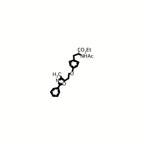 CCOC(=O)[C@@H](Cc1ccc(OCCc2oc(-c3ccccc3)nc2C)cc1)NC(C)=O